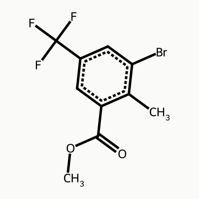 COC(=O)c1cc(C(F)(F)F)cc(Br)c1C